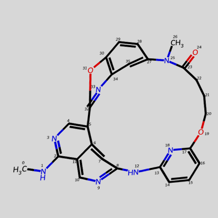 CNc1ncc2c3cc(ncc13)Nc1cccc(n1)OCCCC(=O)N(C)c1ccc3oc-2nc3c1